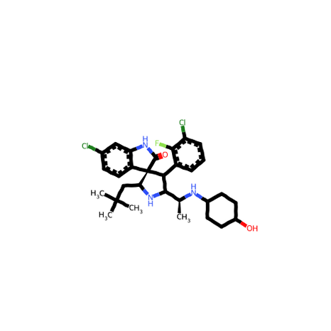 C[C@H](NC1CCC(O)CC1)C1NC(CC(C)(C)C)[C@@]2(C(=O)Nc3cc(Cl)ccc32)C1c1cccc(Cl)c1F